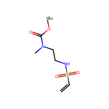 C=CS(=O)(=O)NCCN(C)C(=O)OC(C)(C)C